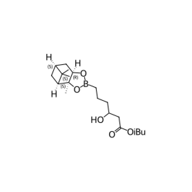 CC(C)COC(=O)CC(O)CCCB1O[C@@H]2C[C@@H]3C[C@@H](C3(C)C)[C@]2(C)O1